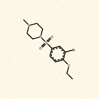 CCOc1ccc(S(=O)(=O)N2CCN(C)CC2)cc1Br